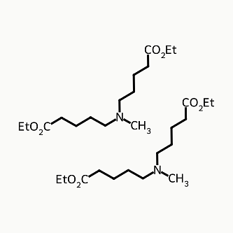 CCOC(=O)CCCCN(C)CCCCC(=O)OCC.CCOC(=O)CCCCN(C)CCCCC(=O)OCC